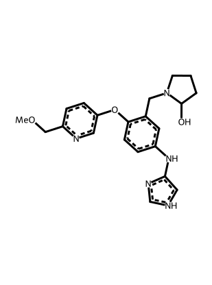 COCc1ccc(Oc2ccc(Nc3c[nH]cn3)cc2CN2CCCC2O)cn1